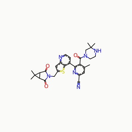 Cc1cc(C#N)nc(-c2ccnc3cc(CN4C(=O)C5C(C4=O)C5(C)C)sc23)c1C(=O)N1CCNC(C)(C)C1